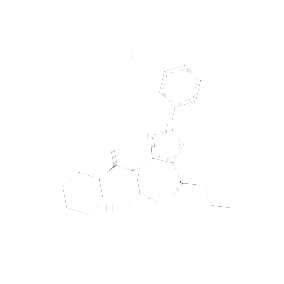 CCOC(=O)c1cn(-c2cccc(C)c2)nc1N(C(=O)[C@H]1CC[C@H](C)CC1)C(C)C